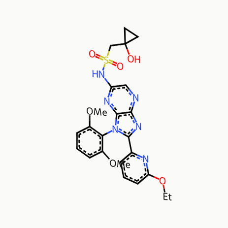 CCOc1cccc(-c2nc3ncc(NS(=O)(=O)CC4(O)CC4)nc3n2-c2c(OC)cccc2OC)n1